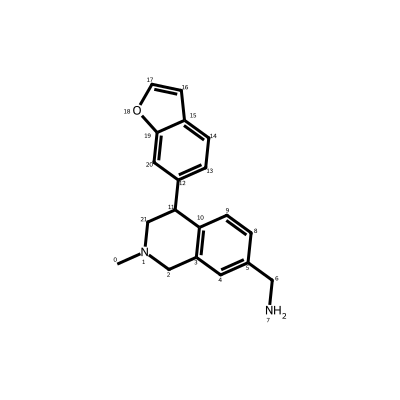 CN1Cc2cc(CN)ccc2C(c2ccc3ccoc3c2)C1